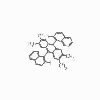 Cc1cc2c(-c3c(I)ccc4ccccc34)c3cc(C)c(C)cc3c(-c3c(I)ccc4ccccc34)c2cc1C